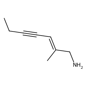 CCC#C/C=C(\C)CN